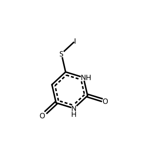 O=c1cc(SI)[nH]c(=O)[nH]1